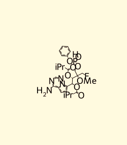 CO[C@](CF)(CO[PH](=O)Oc1ccccc1)[C@@H](OC(=O)C(C)C)[C@@H](OC(=O)C(C)C)c1ccc2c(N)ncnn12